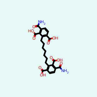 NC(=O)c1ccc(C(=O)O)c(CCCCCCCc2c(C(=O)O)ccc(C(N)=O)c2C(=O)O)c1C(=O)O